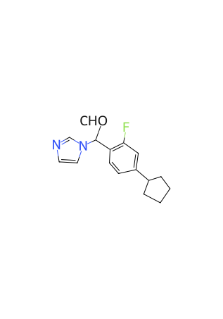 O=CC(c1ccc(C2CCCC2)cc1F)n1ccnc1